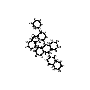 c1ccc(-c2ccc(-c3c4ccccc4c(-c4ccc5ccccc5c4)c4ccccc34)c3c2oc2ccccc23)nc1